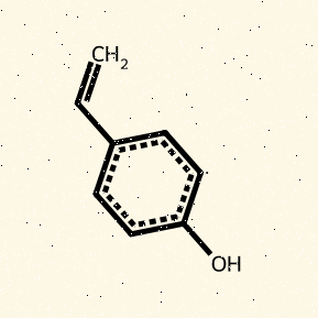 C=Cc1c[c]c(O)cc1